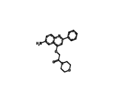 Nc1ccc2nc(-c3ccccc3)cc(OCC(=O)N3CCOCC3)c2c1